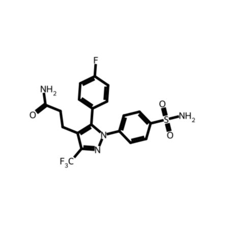 NC(=O)CCc1c(C(F)(F)F)nn(-c2ccc(S(N)(=O)=O)cc2)c1-c1ccc(F)cc1